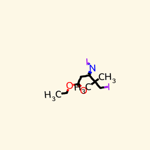 CCOC(=O)C/C(=N\I)C(C)(C)CI